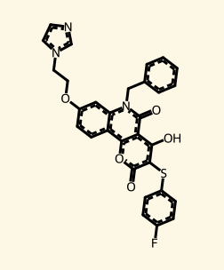 O=c1oc2c(c(O)c1Sc1ccc(F)cc1)c(=O)n(Cc1ccccc1)c1cc(OCCn3ccnc3)ccc21